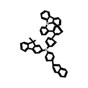 CC1(C)c2ccccc2-c2ccc(N(c3ccc(-c4ccc5ccccc5c4)cc3)c3ccc(-c4ccccc4-c4ccccc4-n4c5ccccc5c5ccccc54)cc3)cc21